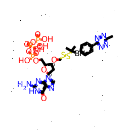 Cc1nnc(-c2ccc(BC(C)(C)SSCO[C@@H]3C[C@H](n4cnc5c(=O)[nH]c(N)nc54)OC3COP(=O)(O)OP(=O)(O)OP(=O)(O)O)cc2)nn1